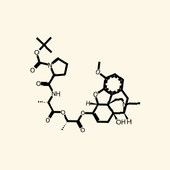 COc1ccc2c3c1O[C@H]1C(OC(=O)[C@H](C)OC(=O)[C@H](C)NC(=O)C4CCCN4C(=O)OC(C)(C)C)=CC[C@@]4(O)[C@@H](C2)N(C)CC[C@]314